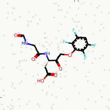 O=CNCC(=O)N[C@@H](CC(=O)O)C(=O)COc1c(F)c(F)cc(F)c1F